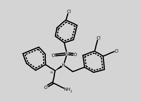 NC(=O)[C@@H](c1ccccc1)N(Cc1ccc(Cl)c(Cl)c1)S(=O)(=O)c1ccc(Cl)cc1